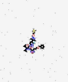 Cc1nn(COCCS(C)(C)C)c(C)c1-c1ccc(NC(=O)C(NC(=O)c2nonc2CCCOCc2ccccc2)C(C2CC2)C2CC2)nc1F